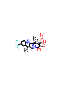 CCc1c2c(nc3ccc(C(F)F)cc13)-c1cc3c(c(=O)n1C2)COC(=O)C3(O)CC